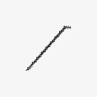 C=COCCOCCOCCOCCOCCOCCOCCOCCOCCOCCOCCOCCOCCOCCOCCOCCOC